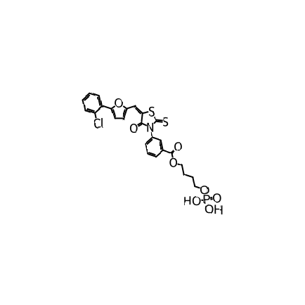 O=C(OCCCCOP(=O)(O)O)c1cccc(N2C(=O)/C(=C\c3ccc(-c4ccccc4Cl)o3)SC2=S)c1